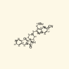 CC(C)(C)Cc1c(CN2CCC3(CC2)NC(=O)N(Cc2ccncc2)C3=O)nn2ccc(C#N)nc12